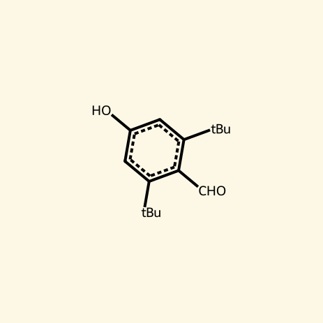 CC(C)(C)c1cc(O)cc(C(C)(C)C)c1C=O